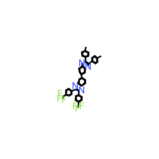 Cc1ccc(-c2nc3ccc(-c4ccc5nc(-c6ccc(C(F)(F)F)cc6)c(-c6ccc(C(F)(F)F)cc6)nc5c4)cc3nc2-c2ccc(C)cc2)cc1